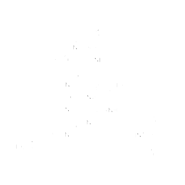 CS(=O)(=O)NCCNc1nc(NCCS(=O)(=O)O)nc(Nc2c(OC=O)[nH]c(=O)[nH]c2=O)n1